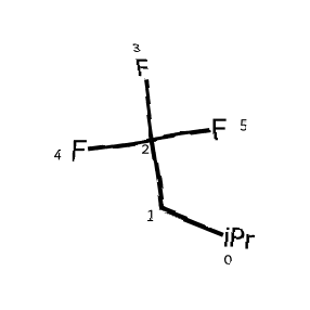 [CH2]C(C)CC(F)(F)F